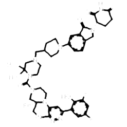 CC[C@@]12CNc3nnc(-c4cc(F)cc(F)c4O)cc3N1CCN(C(=O)N1CCN(CC3CCN(c4ccc5c(c4)C(=O)N([C@H]4CCC(=O)NC4=O)C5)CC3)CC1(C)C)C2